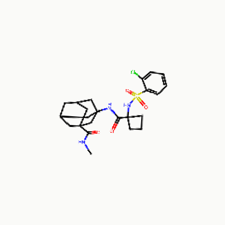 CNC(=O)C12CC3CC(CC(NC(=O)C4(NS(=O)(=O)c5ccccc5Cl)CCC4)(C3)C1)C2